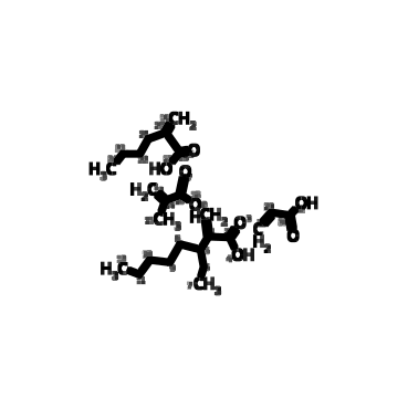 C=C(C(=O)O)C(CC)CCCCC.C=C(C)C(=O)O.C=C(CCCC)C(=O)O.C=CC(=O)O